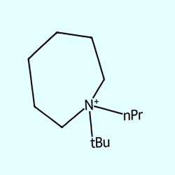 CCC[N+]1(C(C)(C)C)CCCCCC1